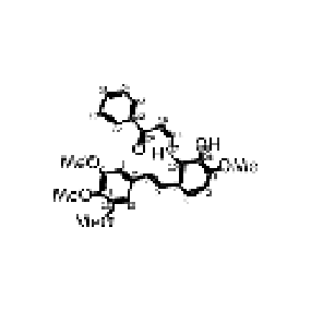 COc1ccc(C=Cc2cc(OC)c(OC)c(OC)c2)c(N/C=C\C(=O)c2ccccc2)c1O